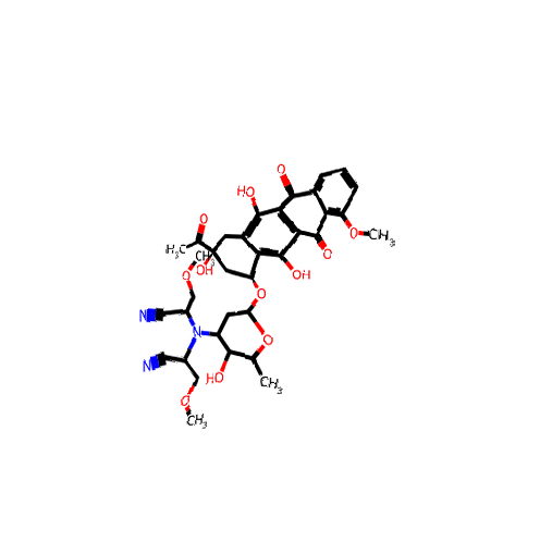 COCC(C#N)N(C(C#N)COC)C1CC(O[C@H]2C[C@](O)(C(C)=O)Cc3c(O)c4c(c(O)c32)C(=O)c2c(OC)cccc2C4=O)OC(C)C1O